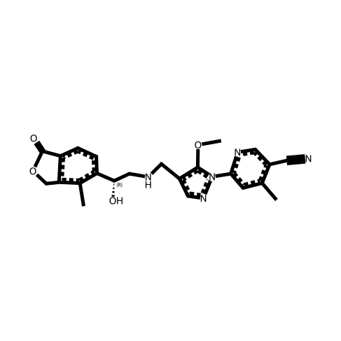 COc1c(CNC[C@H](O)c2ccc3c(c2C)COC3=O)cnn1-c1cc(C)c(C#N)cn1